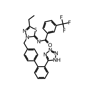 CCc1nn(Cc2ccc(-c3ccccc3-c3nnn[nH]3)cc2)c(=NC(=O)c2cccc(C(F)(F)F)c2)s1